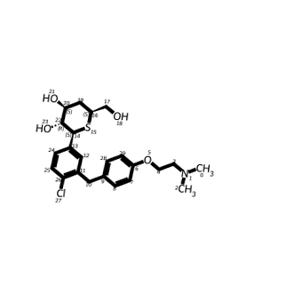 CN(C)CCOc1ccc(Cc2cc([C@@H]3S[C@H](CO)C[C@H](O)[C@H]3O)ccc2Cl)cc1